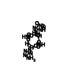 C=C1O[P@@](=O)(S)OC[C@H]2O[C@@H](n3cnc4c(=O)n5ccnc5[nH]c43)[C@H](O[P@](=O)(S)OC[C@H]3C[C@@H](n4cnc5c(N)ncnc54)[C@H]13)[C@@H]2F